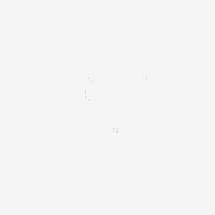 COc1ccc(C(=O)Nc2ccccc2NCc2ccc(N3CCOCC3)cc2)cc1